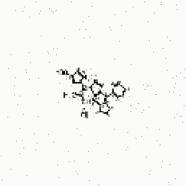 CCCCC1=C[CH]([Zr+2]([CH]2C(C)=Cc3c2cc2c(c3-c3ccccc3)CCC2)[SiH](C)C)C=C1.[Cl-].[Cl-]